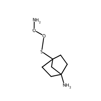 NOOSC12CCC(N)(CC1)C2